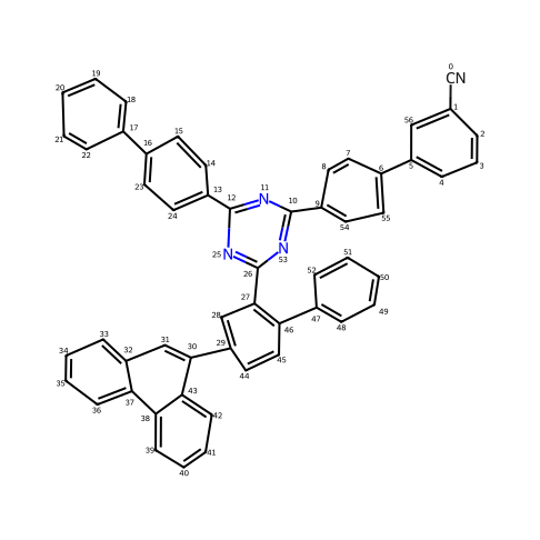 N#Cc1cccc(-c2ccc(-c3nc(-c4ccc(-c5ccccc5)cc4)nc(-c4cc(-c5cc6ccccc6c6ccccc56)ccc4-c4ccccc4)n3)cc2)c1